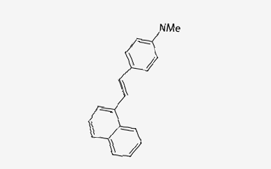 CNc1ccc(C=Cc2cccc3ccccc23)cc1